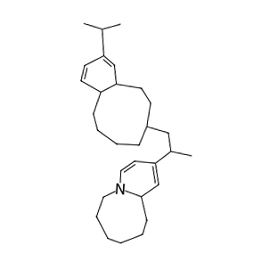 CC(C)C1=CC2CCC(CC(C)C3=CC4CCCCCCN4C=C3)CCCCC2C=C1